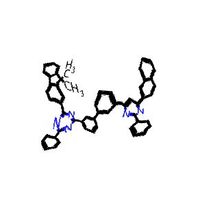 CC1(C)c2ccccc2-c2ccc(-c3nc(-c4ccccc4)nc(-c4cccc(-c5cccc(-c6cc(-c7ccc8ccccc8c7)nc(-c7ccccc7)n6)c5)c4)n3)cc21